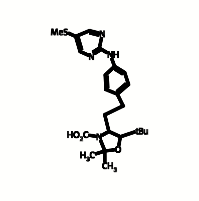 CSc1cnc(Nc2ccc(CCC3C(C(C)(C)C)OC(C)(C)N3C(=O)O)cc2)nc1